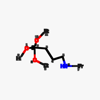 CCO[Si](CCCNC(C)C)(OCC)OCC